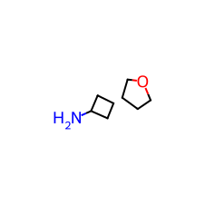 C1CCOC1.NC1CCC1